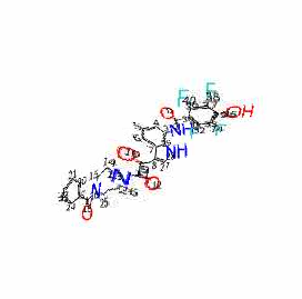 O=C(Nc1cccc2c(C(=O)C(=O)N3CCN(C(=O)c4ccccc4)CC3)c[nH]c12)c1c(F)c(F)c(O)c(F)c1F